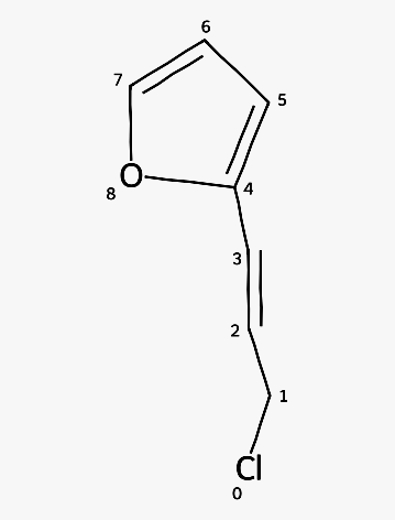 ClC/C=C/c1ccco1